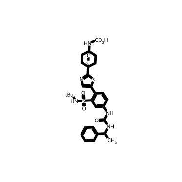 CC(NC(=O)Nc1ccc(-c2cnc(C34CCC(NC(=O)O)(CC3)CC4)s2)c(S(=O)(=O)NC(C)(C)C)c1)c1ccccc1